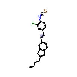 C=CCCC1=Cc2ccc(/C=C/c3ccc(N=C=S)c(F)c3)cc2C1